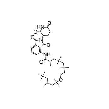 CC(CC(C)(C)C)CC(C)(C)OCCC(C)(C)CC(C)(C)CC(C)C(=O)Nc1cccc2c1C(=O)N(C1CCC(=O)NC1=O)C2=O